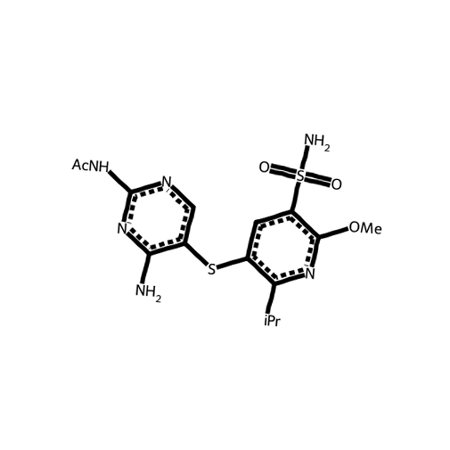 COc1nc(C(C)C)c(Sc2cnc(NC(C)=O)nc2N)cc1S(N)(=O)=O